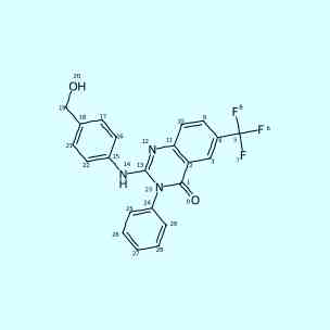 O=c1c2cc(C(F)(F)F)ccc2nc(Nc2ccc(CO)cc2)n1-c1ccccc1